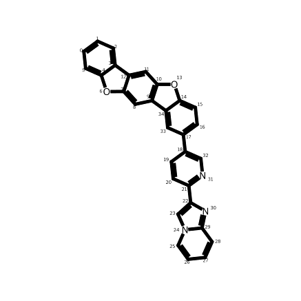 c1ccc2c(c1)oc1cc3c(cc12)oc1ccc(-c2ccc(-c4cn5ccccc5n4)nc2)cc13